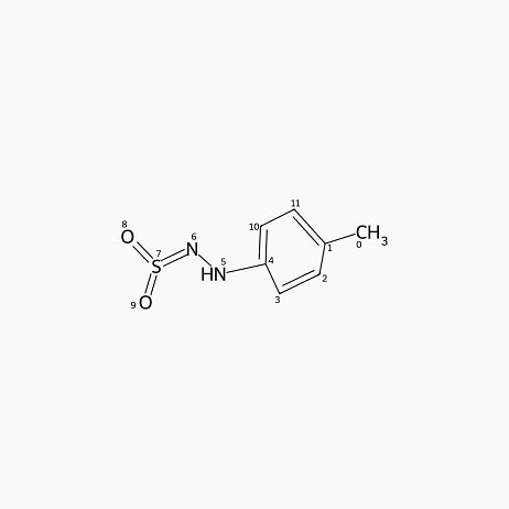 Cc1ccc(NN=S(=O)=O)cc1